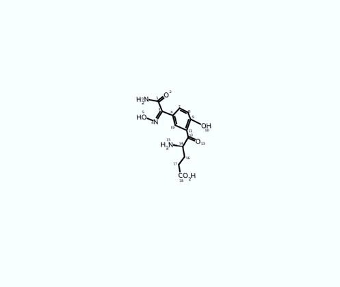 NC(=O)C(=NO)c1ccc(O)c(C(=O)[C@H](N)CCC(=O)O)c1